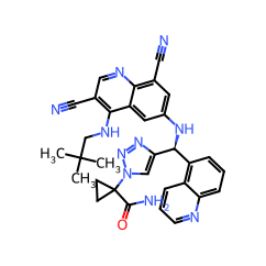 CC(C)(C)CNc1c(C#N)cnc2c(C#N)cc(N[C@H](c3cn(C4(C(N)=O)CC4)nn3)c3cccc4ncccc34)cc12